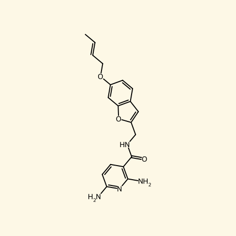 CC=CCOc1ccc2cc(CNC(=O)c3ccc(N)nc3N)oc2c1